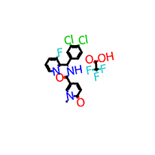 Cn1cc(C(=O)N[C@@H](c2ccc(Cl)c(Cl)c2)c2ncccc2F)ccc1=O.O=C(O)C(F)(F)F